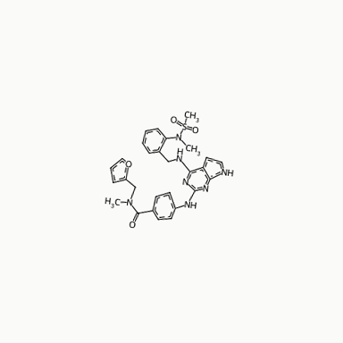 CN(Cc1ccco1)C(=O)c1ccc(Nc2nc(NCc3ccccc3N(C)S(C)(=O)=O)c3cc[nH]c3n2)cc1